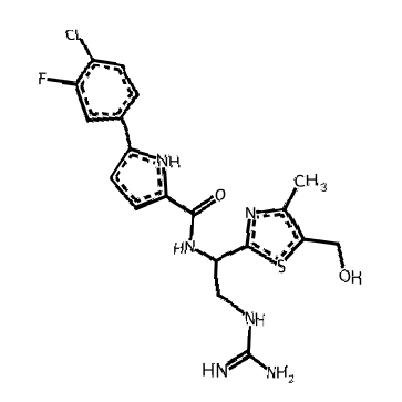 Cc1nc(C(CNC(=N)N)NC(=O)c2ccc(-c3ccc(Cl)c(F)c3)[nH]2)sc1CO